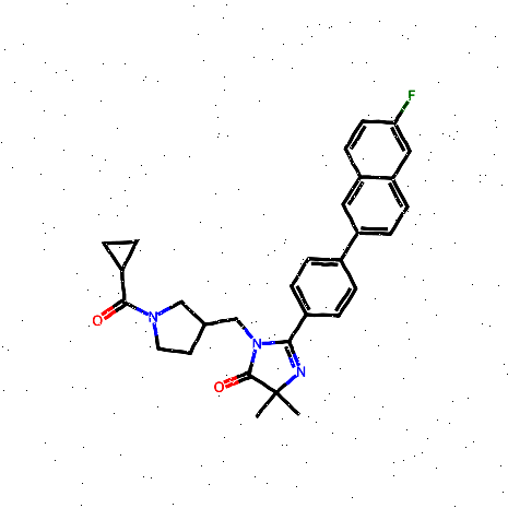 CC1(C)N=C(c2ccc(-c3ccc4cc(F)ccc4c3)cc2)N(CC2CCN(C(=O)C3CC3)C2)C1=O